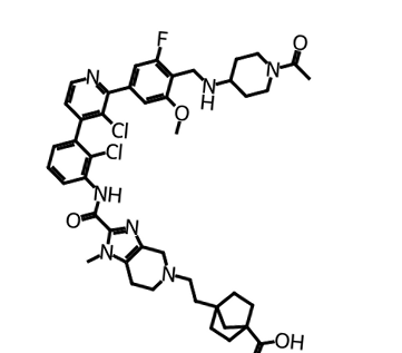 COc1cc(-c2nccc(-c3cccc(NC(=O)c4nc5c(n4C)CCN(CCC46CCC(C(=O)O)(CC4)C6)C5)c3Cl)c2Cl)cc(F)c1CNC1CCN(C(C)=O)CC1